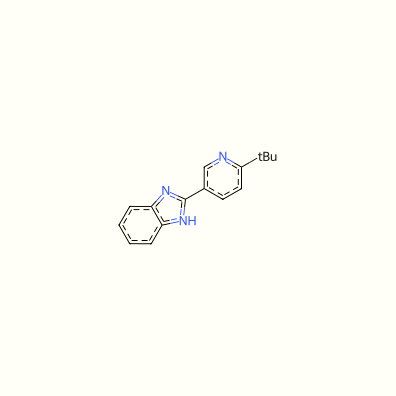 CC(C)(C)c1ccc(-c2nc3ccccc3[nH]2)cn1